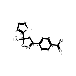 O=C(Cl)c1ccc(C2=NOC(c3cccs3)(C(F)(F)F)C2)cc1